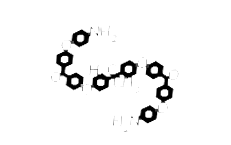 CC(C)(c1ccc(Oc2ccc(C(=O)c3ccc(Oc4ccc(N)cc4)cc3)cc2)cc1)c1ccc(Oc2ccc(C(=O)c3ccc(Oc4ccc(N)cc4)cc3)cc2)cc1